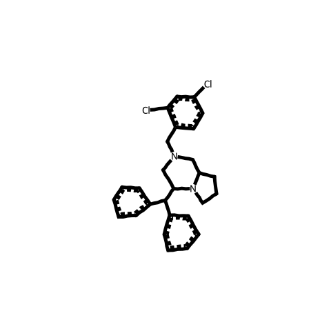 Clc1ccc(CN2CC3CCCN3C(C(c3ccccc3)c3ccccc3)C2)c(Cl)c1